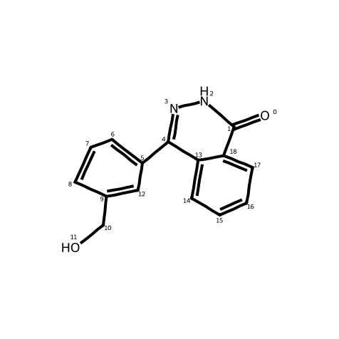 O=c1[nH]nc(-c2cccc(CO)c2)c2ccccc12